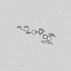 CC1(C)CCC(C)(C)c2cc(-c3ncnc(N4CCC(NC(CO)CCCO)CC4)n3)ccc21